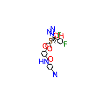 C[C@@H](SC1COC(c2cccc(C(=O)Nc3ccc(C#N)cc3)c2)OC1)[C@](O)(Cn1cncn1)c1ccc(F)cc1F